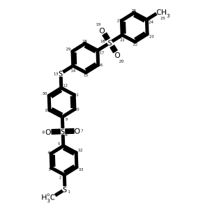 CSc1ccc(S(=O)(=O)c2ccc(Sc3ccc(S(=O)(=O)c4ccc(C)cc4)cc3)cc2)cc1